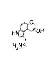 C[C@H](N)Cc1c[nH]c2ccc3c(c12)C[C@@H](O)CO3